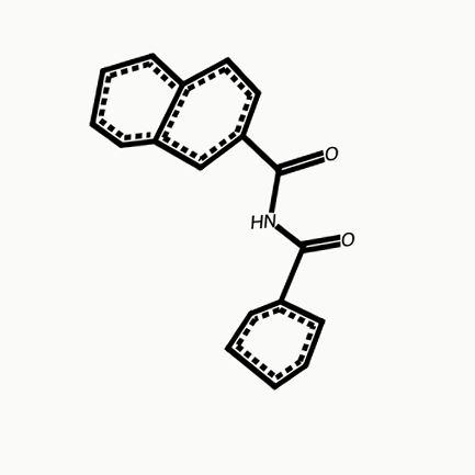 O=C(NC(=O)c1ccc2ccccc2c1)c1ccccc1